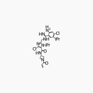 C=CC(=O)N1CC(NC(=O)c2c(Cl)nc(CNC(=N)c3cc(C(C)C)c(Cl)cc3N)n2C(C)C)C1